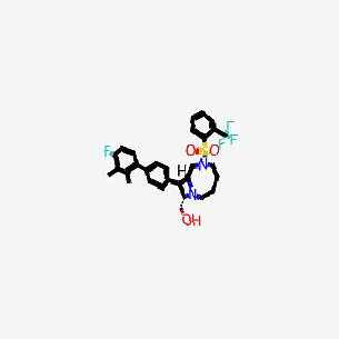 Cc1c(F)ccc(-c2ccc(C3[C@@H](CO)N4CCCCN(S(=O)(=O)c5ccccc5C(F)(F)F)C[C@@H]34)cc2)c1C